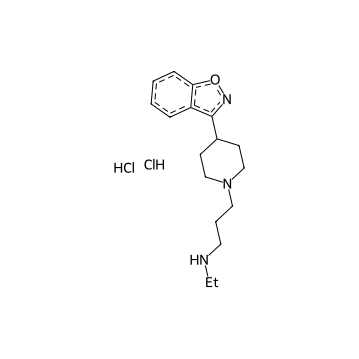 CCNCCCN1CCC(c2noc3ccccc23)CC1.Cl.Cl